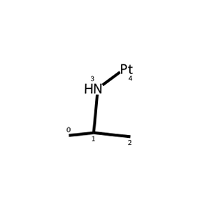 CC(C)[NH][Pt]